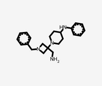 NCC1(N2CCC(Nc3ccccc3)CC2)CN(Cc2ccccc2)C1